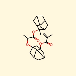 C=C(C)C(=O)OC12CC3CC(C1)CC(OC(C)C(=O)OC1(C)C4CC5CC(C4)CC1C5)(C3)C2